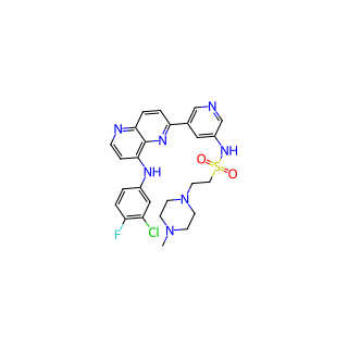 CN1CCN(CCS(=O)(=O)Nc2cncc(-c3ccc4nccc(Nc5ccc(F)c(Cl)c5)c4n3)c2)CC1